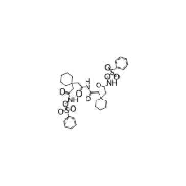 O=C(CC1(CC(=O)NC(=O)CC2(CC(=O)NOS(=O)(=O)c3ccccc3)CCCCC2)CCCCC1)NOS(=O)(=O)c1ccccc1